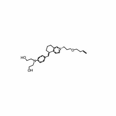 C=CCCOCCC[n+]1ccc2c(c1)CCC/C2=C\c1ccc(N(CCO)CCO)cc1